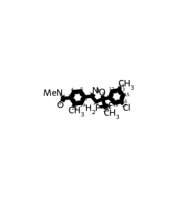 CNC(=O)c1ccc(C2=NOC(c3cc(C)cc(Cl)c3)(C(C)(F)P)C2)cc1C